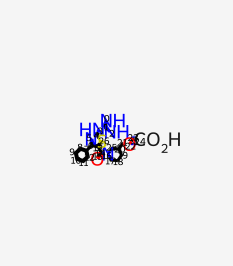 N=C(N)Nc1nc(-c2ccccc2)c(C(=O)N2CCCC(COCC(=O)O)C2)s1